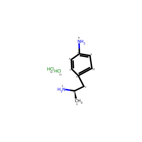 C[C@@H](N)Cc1ccc(N)cc1.Cl.Cl